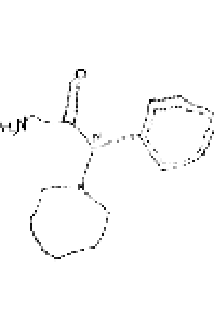 NC(=O)[C@H](c1ccccc1)N1CCCCC1